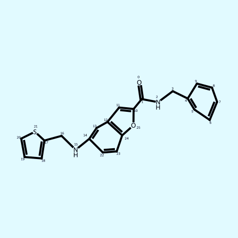 O=C(NCc1ccccc1)c1cc2cc(NCc3cccs3)ccc2o1